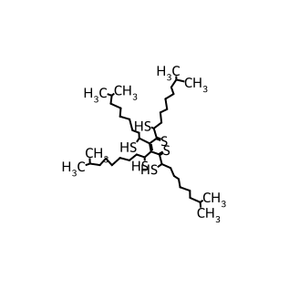 CC(C)CCCCCCC(S)C(=S)C(=C(C(=S)C(S)CCCCCCC(C)C)C(S)CCCCCCC(C)C)C(S)CCCCCCC(C)C